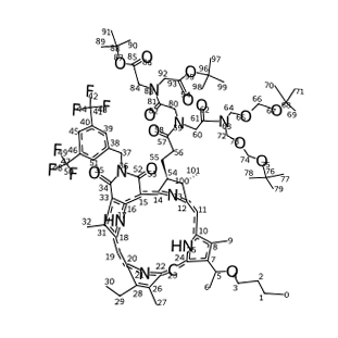 CCCCOC(C)c1c(C)c2cc3nc(c4c5[nH]c(cc6nc(cc1[nH]2)C(C)=C6CC)c(C)c5C(=O)N(Cc1cc(C(F)(F)F)cc(C(F)(F)F)c1)C4=O)[C@@H](CCC(=O)N(CC(=O)N(COCOC(C)(C)C)COCOC(C)(C)C)CC(=O)N(CC(=O)OC(C)(C)C)CC(=O)OC(C)(C)C)[C@@H]3C